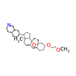 COCCO[C@@H]1CCC2=CC3=CCC4(C)C(c5ccc6ccncc6c5)CCC4[C@@]34CC[C@]2(C1)O4